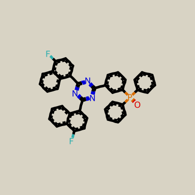 O=P(c1ccccc1)(c1ccccc1)c1cccc(-c2nc(-c3ccc(F)c4ccccc34)nc(-c3ccc(F)c4ccccc34)n2)c1